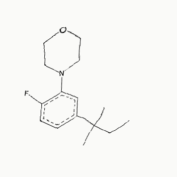 CCC(C)(C)c1ccc(F)c(N2CCOCC2)c1